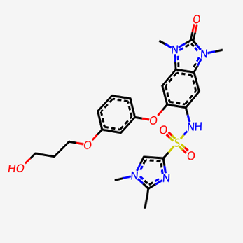 Cc1nc(S(=O)(=O)Nc2cc3c(cc2Oc2cccc(OCCCO)c2)n(C)c(=O)n3C)cn1C